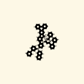 CC1(C)c2cc3c4ccccc4c4ccccc4c3cc2-c2ccc3c4cc(N(c5cccc(-c6ccccc6)c5)c5ccc6ccccc6c5)ccc4n(-c4cc(-c5ccccc5-c5ccccc5)nc(-c5ccccc5)n4)c3c21